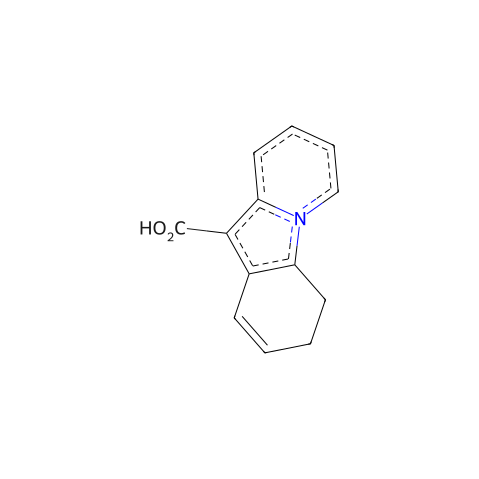 O=C(O)c1c2c(n3ccccc13)CCC=C2